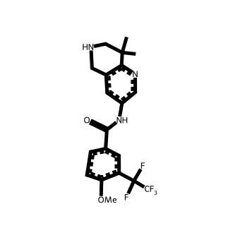 COc1ccc(C(=O)Nc2cnc3c(c2)CNCC3(C)C)cc1C(F)(F)C(F)(F)F